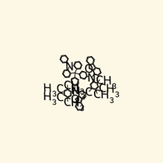 Cc1cc(N(c2ccc(C3(c4ccc(N(c5cc(C)c(C)c(C)c5C)c5cccc6c5oc5ccccc56)cc4)c4ccccc4N(c4ccccc4)c4ccccc43)cc2)c2cccc3c2oc2ccccc23)c(C)c(C)c1C